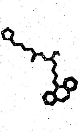 CN(CCCC=C1c2ccccc2C=Cc2ccccc21)COC(=O)CCCCC1CCSS1